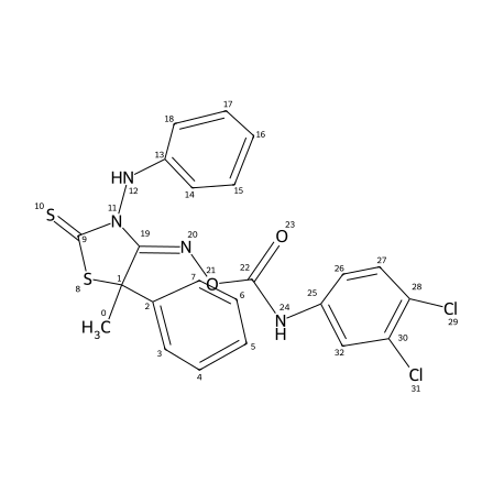 CC1(c2ccccc2)SC(=S)N(Nc2ccccc2)C1=NOC(=O)Nc1ccc(Cl)c(Cl)c1